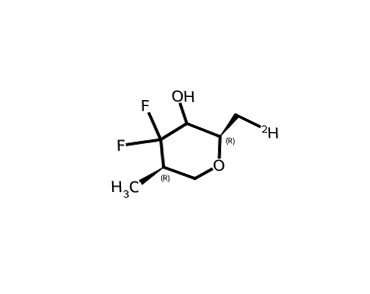 [2H]C[C@H]1OC[C@@H](C)C(F)(F)C1O